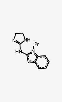 CC(C)n1c(NC2=NCCN2)nc2ccccc21